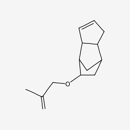 C=C(C)COC1CC2CC1C1C=CCC21